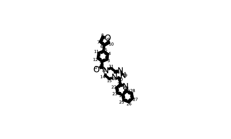 O=C(c1ccc(-c2ccoc2)cc1)N1CCn2c(nnc2-c2ccc3ccccc3n2)C1